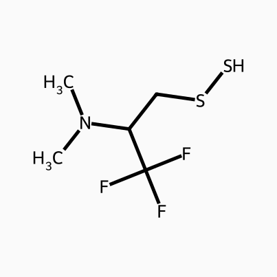 CN(C)C(CSS)C(F)(F)F